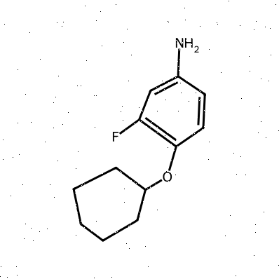 Nc1ccc(OC2CCCCC2)c(F)c1